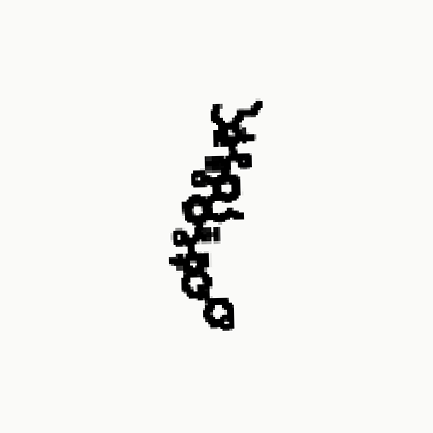 CCCc1c(NC(=O)c2nc3c(n2C)CCN(C2CCOCC2)C3)cccc1-c1cccc(NC(=O)c2nc(CC)c(CCC)n2C)c1Cl